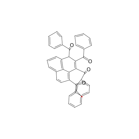 O=C(C1=C(C(=O)c2ccccc2)C(C(=O)c2ccccc2)c2cccc3ccc(C(=O)c4ccccc4)c1c23)c1ccccc1